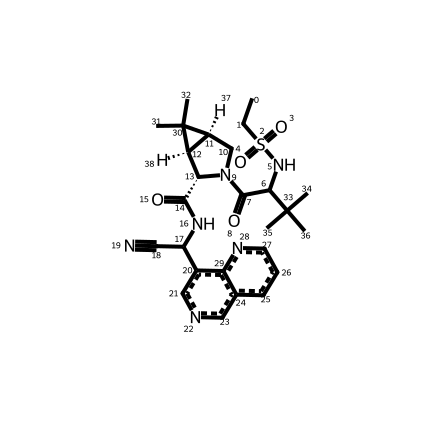 CCS(=O)(=O)NC(C(=O)N1C[C@H]2[C@@H]([C@H]1C(=O)NC(C#N)c1cncc3cccnc13)C2(C)C)C(C)(C)C